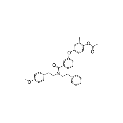 COc1ccc(CCN(CCc2ccccc2)C(=O)c2cccc(Oc3ccc(OC(C)=O)c(C)c3)c2)cc1